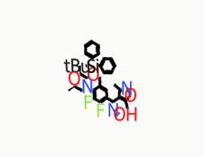 Cc1noc(C)c1C(=NO)c1cc(CO[Si](c2ccccc2)(c2ccccc2)C(C)(C)C)c(N2C[C@@H](C)O[C@@H](C)C2)c(F)c1F